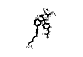 CCCCCC#Cc1cccc(C2(c3ccc(CC(F)F)cc3)N=C(N)N(C)C2=O)c1